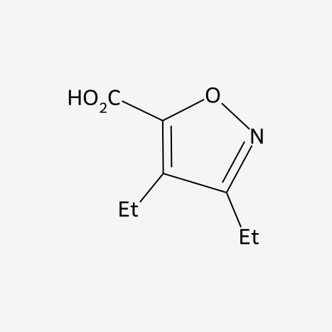 CCc1noc(C(=O)O)c1CC